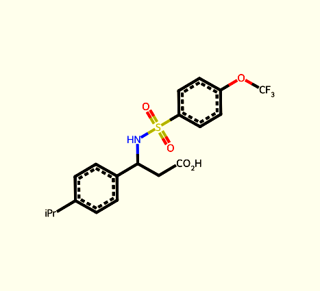 CC(C)c1ccc(C(CC(=O)O)NS(=O)(=O)c2ccc(OC(F)(F)F)cc2)cc1